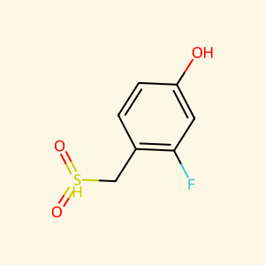 O=[SH](=O)Cc1ccc(O)cc1F